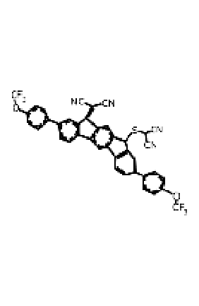 N#CC(C#N)=C1c2cc(-c3ccc(OC(F)(F)F)cc3)ccc2-c2cc3c(cc21)C(SC(C#N)C#N)C1=C3C=CC(c2ccc(OC(F)(F)F)cc2)C1